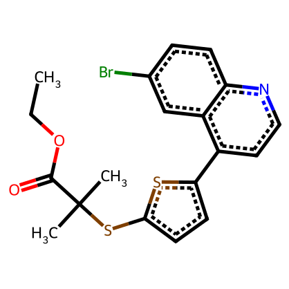 CCOC(=O)C(C)(C)Sc1ccc(-c2ccnc3ccc(Br)cc23)s1